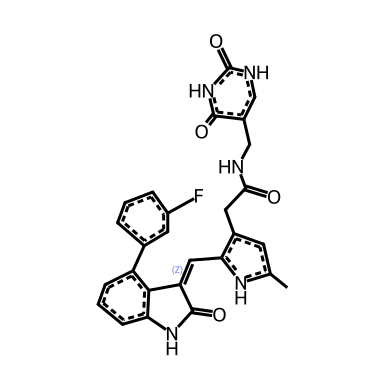 Cc1cc(CC(=O)NCc2c[nH]c(=O)[nH]c2=O)c(/C=C2\C(=O)Nc3cccc(-c4cccc(F)c4)c32)[nH]1